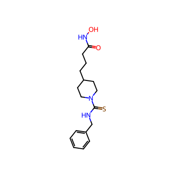 O=C(CCCC1CCN(C(=S)NCc2ccccc2)CC1)NO